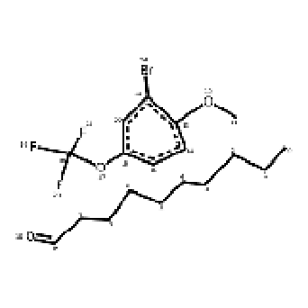 CCCCCCCCCC=O.COc1ccc(OC(F)(F)F)cc1Br